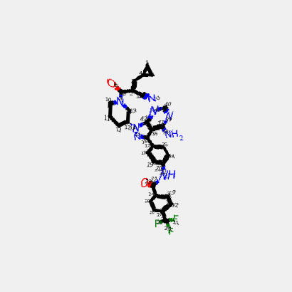 N#C/C(=C\C1CC1)C(=O)N1CCC[C@@H](n2nc(-c3ccc(NC(=O)c4ccc(C(F)(F)F)cc4)cc3)c3c(N)ncnc32)C1